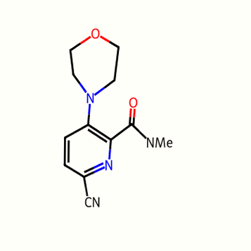 CNC(=O)c1nc(C#N)ccc1N1CCOCC1